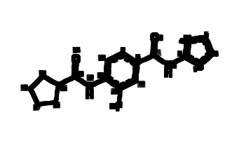 O=C(Nc1nccs1)c1ccc(NC(=O)C2CCCC2)c(F)c1